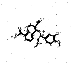 CNC[C@@H](Nc1c(C#N)cnc2c(C(N)=O)cccc12)c1ccc(OC)c(Cl)c1